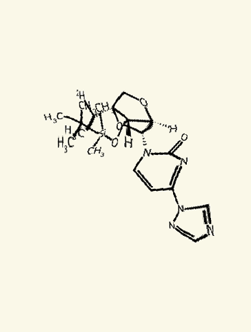 [2H]C(C)[C@@]12CO[C@@H]([C@H](n3ccc(-n4cncn4)nc3=O)O1)[C@@H]2O[Si](C)(C)C(C)(C)C